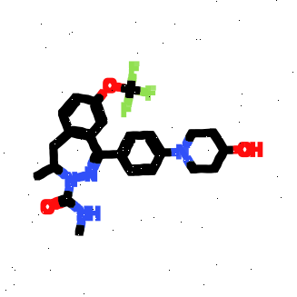 CNC(=O)N1N=C(c2ccc(N3CCC(O)CC3)cc2)c2cc(OC(F)(F)F)ccc2CC1C